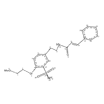 COCCOc1ccc(CCNC(=O)C=Cc2ccccc2)cc1S(N)(=O)=O